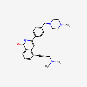 CN(C)CC#Cc1cccc2c(=O)[nH]c(-c3ccc(CN4CCN(C)CC4)cc3)cc12